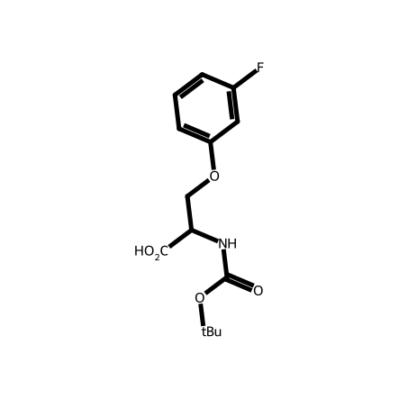 CC(C)(C)OC(=O)NC(COc1cccc(F)c1)C(=O)O